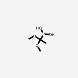 COC(C)(OC)P(O)O